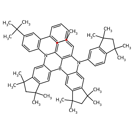 Cc1cc2c3c(c1)N(c1ccc(C(C)(C)C)cc1-c1ccccc1)c1cc4c(cc1B3c1cc3c(cc1N2c1ccc2c(c1)C(C)(C)CC2(C)C)C(C)(C)CC3(C)C)C(C)(C)CC4(C)C